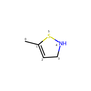 CC1=CCNS1